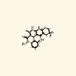 CC1=C(C(=O)OC(C)C)C2c3ccccc3Nc3c4c(nc(c32)N1)CCC(C)(C)C4